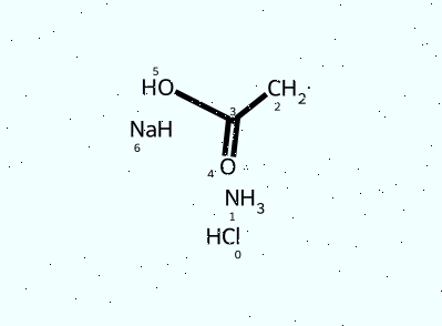 Cl.N.[CH2]C(=O)O.[NaH]